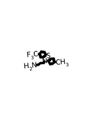 Cc1ccc2c(c1)Sc1ccc(C(F)(F)F)cc1N2CCCN